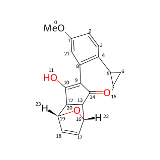 COc1ccc(C2CC2)c(C2=C(O)C3C(C2=O)[C@@H]2C=C[C@H]3O2)c1